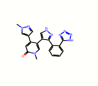 Cn1cc(-c2cc(=O)n(C)cc2-c2c[nH]nc2-c2ccccc2-c2nnn[nH]2)cn1